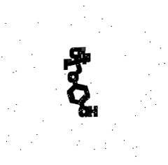 Oc1ccc(OCC(F)(F)C(F)(F)F)cc1